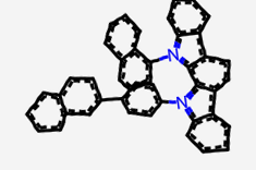 c1ccc2cc(-c3ccc(-n4c5ccccc5c5ccc6c7ccccc7n(-c7cccc8ccccc78)c6c54)cc3)ccc2c1